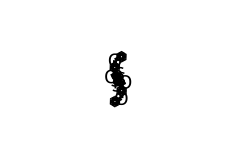 O=C(c1ccc(Oc2ccccc2)cc1)P1(=S)SP(=S)(C(=O)c2ccc(Oc3ccccc3)cc2)S1